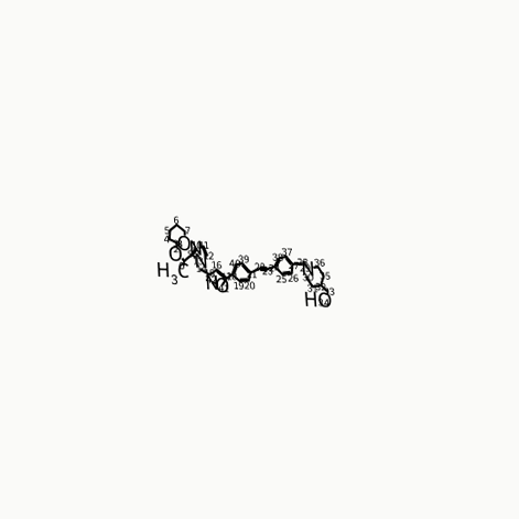 C[C@H](OC1CCCCO1)c1nccn1Cc1cc(-c2ccc(C#Cc3ccc(CN4CCC(CO)CC4)cc3)cc2)on1